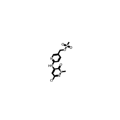 Cn1nc(Cl)cc(Nc2ccc(COS(C)(=O)=O)cn2)c1=O